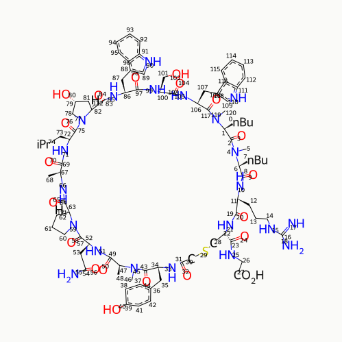 CCCC[C@H]1C(=O)N(C)[C@@H](CCCC)C(=O)N[C@@H](CCCNC(=N)N)C(=O)N[C@H](C(=O)NCC(=O)O)CSCC(=O)N[C@@H](Cc2ccc(O)cc2)C(=O)N(C)[C@@H](C)C(=O)N[C@@H](CC(N)=O)C(=O)N2CCC[C@H]2C(=O)N[C@@H](C)C(=O)N[C@@H](CC(C)C)C(=O)N2C[C@H](O)C[C@H]2C(=O)N[C@@H](Cc2c[nH]c3ccccc23)C(=O)N[C@@H](CO)C(=O)N[C@@H](Cc2c[nH]c3ccccc23)C(=O)N1C